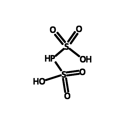 O=S(=O)(O)PS(=O)(=O)O